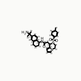 Cc1ccc(S(=O)(=O)N2CCn3cccc3C2CC(=O)NC2CCCc3cc(C(C)(C)N)ccc32)cc1